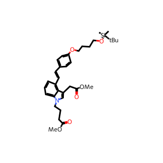 COC(=O)CCCn1cc(CC(=O)OC)c2c(/C=C/c3ccc(OCCCCO[Si](C)(C)C(C)(C)C)cc3)cccc21